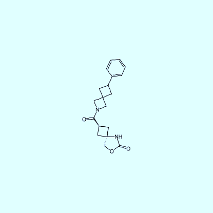 O=C1N[C@]2(CO1)C[C@H](C(=O)N1CC3(CC(c4ccccc4)C3)C1)C2